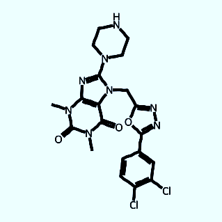 Cn1c(=O)c2c(nc(N3CCNCC3)n2Cc2nnc(-c3ccc(Cl)c(Cl)c3)o2)n(C)c1=O